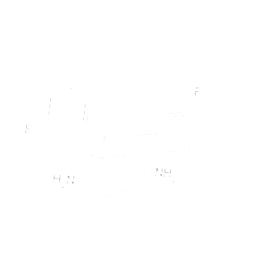 CC1(Cc2cccc(F)c2)C(Cc2cccc(F)c2)=C(N)C=CC1N